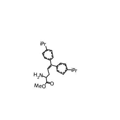 COC(=O)C(N)CC=C(c1ccc(C(C)C)cc1)c1ccc(C(C)C)cc1